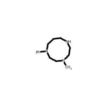 CC(C)N1CCCNCCN(C)CC1